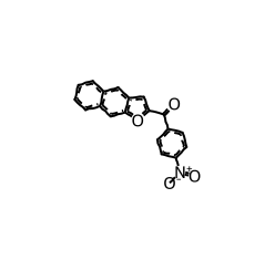 O=C(c1ccc([N+](=O)[O-])cc1)c1cc2cc3ccccc3cc2o1